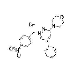 O=[N+]([O-])c1ccc(C[n+]2cc(-c3ccccc3)cc(N3CCOCC3)n2)cc1.[Br-]